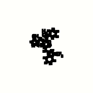 CN(C(=O)[C@H](Cc1cncn1C)NC(=O)Cn1nc(C(F)(F)F)c2c1CCCC2)c1ccccc1